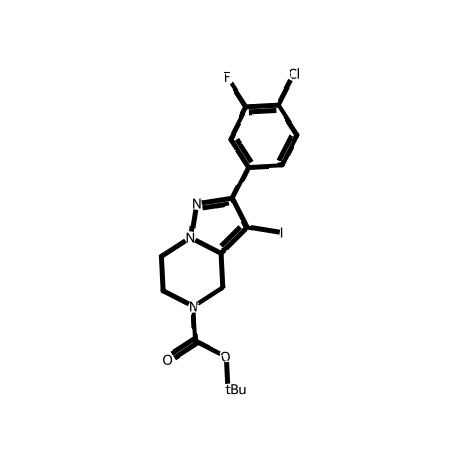 CC(C)(C)OC(=O)N1CCn2nc(-c3ccc(Cl)c(F)c3)c(I)c2C1